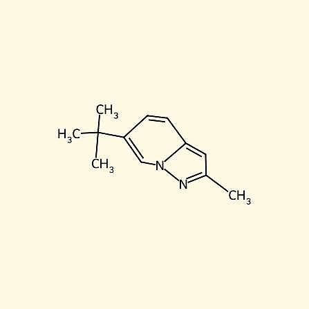 Cc1cc2ccc(C(C)(C)C)cn2n1